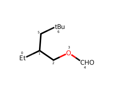 CCC(COC=O)CC(C)(C)C